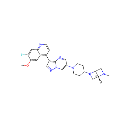 COc1cc2c(-c3cnn4cc(N5CCC(N6C[C@@H]7C6CN7C)CC5)cnc34)ccnc2cc1F